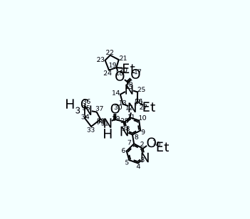 CCOc1ncccc1-c1ccc(N2CCN(C(=O)OC3(CC)CCCC3)C[C@H]2CC)c(C(=O)N[C@@H]2CCN(C)C2)n1